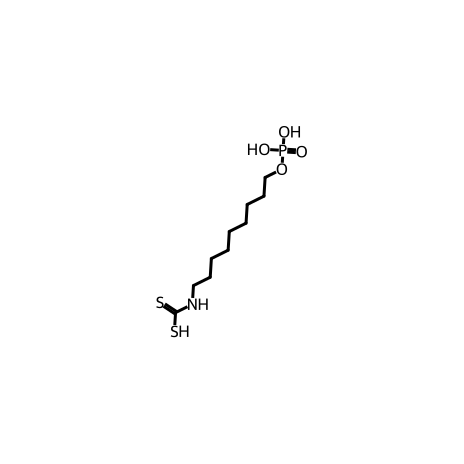 O=P(O)(O)OCCCCCCCCCNC(=S)S